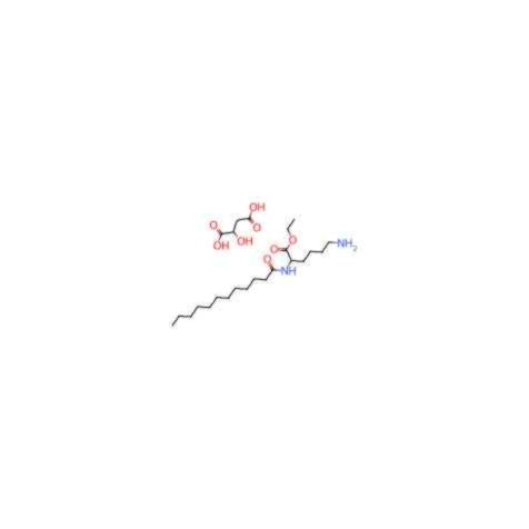 CCCCCCCCCCCC(=O)NC(CCCCN)C(=O)OCC.O=C(O)CC(O)C(=O)O